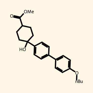 CCCCOc1ccc(-c2ccc(C3(O)CCC(C(=O)OC)CC3)cc2)cc1